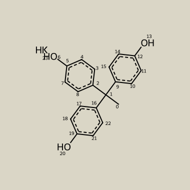 CC(c1ccc(O)cc1)(c1ccc(O)cc1)c1ccc(O)cc1.[KH]